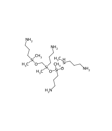 C[SiH](CCCN)O[Si](C)(CCCN)O[Si](C)(CCCN)CO[Si](C)(C)CCCN